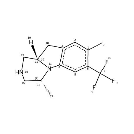 Cc1cc2c(cc1C(F)(F)F)N1[C@H](CNC[C@H]1C)C2